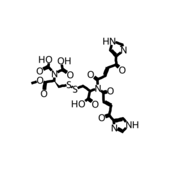 COC(=O)[C@H](CSSCC(C(=O)O)N(C(=O)C=CC(=O)c1c[nH]cn1)C(=O)C=CC(=O)c1c[nH]cn1)N(C(=O)O)C(=O)O